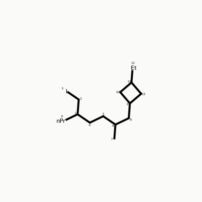 CCCC(CI)CCC(C)CC1CC(CC)C1